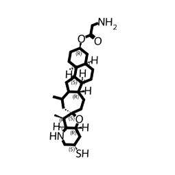 CC1C[C@]2(CC[C@@H]3C1C[C@H]1[C@H]3CC[C@@H]3C[C@H](OC(=O)CN)CC[C@@]31C)O[C@@H]1C[C@H](S)CN[C@H]1[C@H]2C